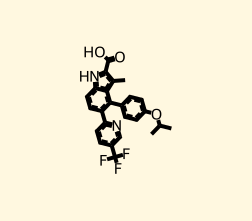 Cc1c(C(=O)O)[nH]c2ccc(-c3ccc(C(F)(F)F)cn3)c(-c3ccc(OC(C)C)cc3)c12